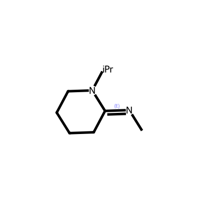 C/N=C1\CCCCN1C(C)C